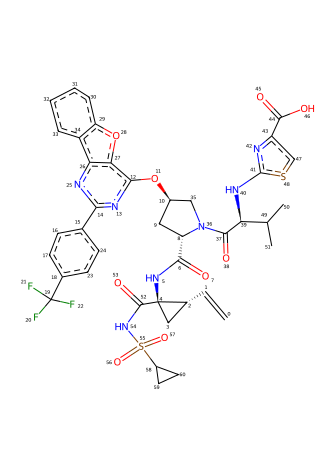 C=C[C@@H]1C[C@]1(NC(=O)[C@@H]1C[C@@H](Oc2nc(-c3ccc(C(F)(F)F)cc3)nc3c2oc2ccccc23)CN1C(=O)[C@@H](Nc1nc(C(=O)O)cs1)C(C)C)C(=O)NS(=O)(=O)C1CC1